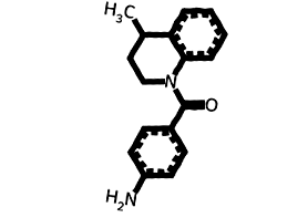 CC1CCN(C(=O)c2ccc(N)cc2)c2ccccc21